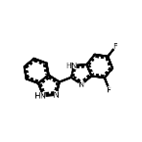 Fc1cc(F)c2nc(-c3n[nH]c4ccccc34)[nH]c2c1